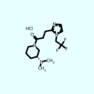 CN(C)[C@@H]1CCCN(C(=O)CCc2nccn2CC(F)(F)F)C1.Cl